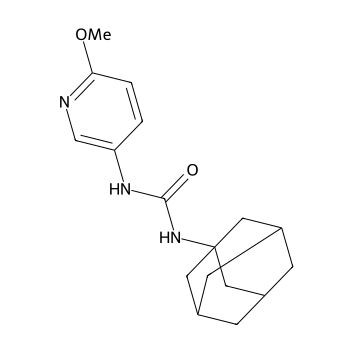 COc1ccc(NC(=O)NC23CC4CC(CC(C4)C2)C3)cn1